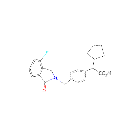 O=C(O)C(c1ccc(CN2Cc3c(F)cccc3C2=O)cc1)C1CCCC1